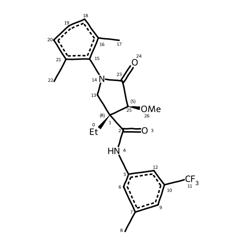 CC[C@@]1(C(=O)Nc2cc(C)cc(C(F)(F)F)c2)CN(c2c(C)cccc2C)C(=O)[C@H]1OC